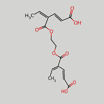 CC=C(C=CC(=O)O)C(=O)OCCOC(=O)C(C=CC(=O)O)=CC